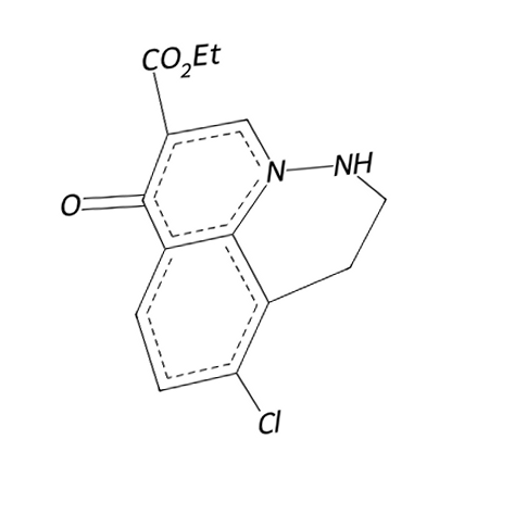 CCOC(=O)c1cn2c3c(c(Cl)ccc3c1=O)CCN2